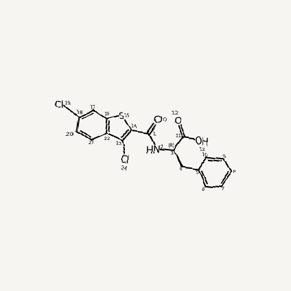 O=C(N[C@H](Cc1ccccc1)C(=O)O)c1sc2cc(Cl)ccc2c1Cl